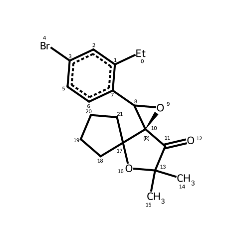 CCc1cc(Br)ccc1C1O[C@]12C(=O)C(C)(C)OC21CCCC1